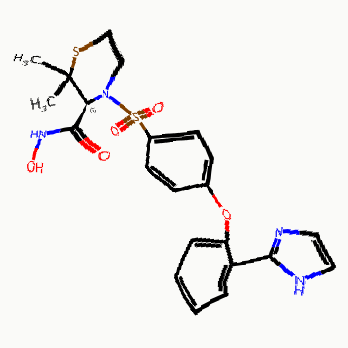 CC1(C)SCCN(S(=O)(=O)c2ccc(Oc3ccccc3-c3ncc[nH]3)cc2)[C@H]1C(=O)NO